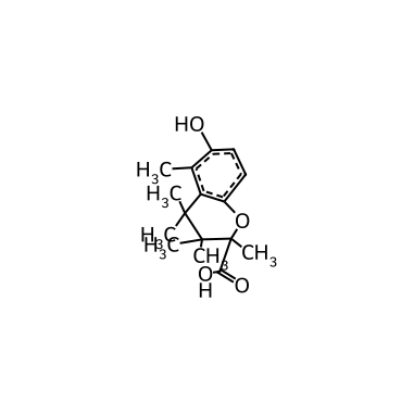 Cc1c(O)ccc2c1C(C)(C)C(C)(C)C(C)(C(=O)O)O2